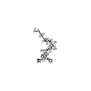 Cc1nc(C(=O)N2CCC[C@H]2N(C=O)[C@@H](CCC2CCCCC2)C(=O)N[C@@H](CC(C)C)C(=O)NC(C)(C)C(=O)N[C@@H](CC(C)C)C(=O)N[C@@H](CC(C)C)C(=O)NC(C)(C)C(=O)NC(C)(C)C(=O)NCCC(=O)NCCN(C)CC(F)F)co1